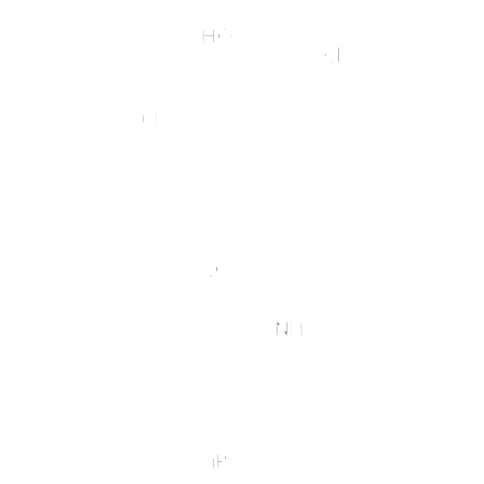 CC(C)CCNC(=O)Cc1cc(Cl)c(O)c(Cl)c1